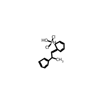 CC(C=C1C=CC=CC1[PH](O)(Cl)Cl)c1ccccc1